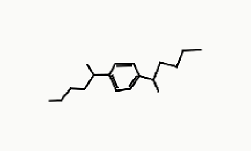 CCCCC(C)c1ccc(C(C)CCCC)cc1